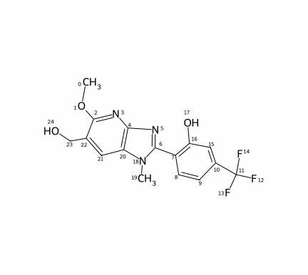 COc1nc2nc(-c3ccc(C(F)(F)F)cc3O)n(C)c2cc1CO